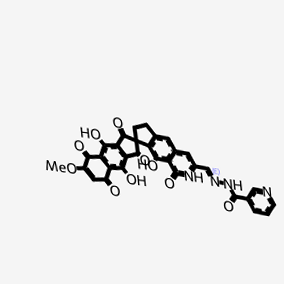 COC1=CC(=O)c2c(O)c3c(c(O)c2C1=O)C(=O)C1(CCc2cc4cc(/C=N/NC(=O)c5cccnc5)[nH]c(=O)c4c(O)c21)C3=O